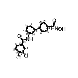 O=C(NO)c1ccc(-c2cccc(NC(=O)c3ccc(Cl)c(Cl)c3)c2)cc1